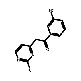 [C-]#[N+]c1cccc(C(=O)Cc2ccnc(Cl)n2)c1